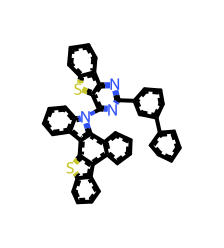 c1ccc(-c2cccc(-c3nc(-n4c5ccccc5c5c6sc7ccccc7c6c6ccccc6c54)c4sc5ccccc5c4n3)c2)cc1